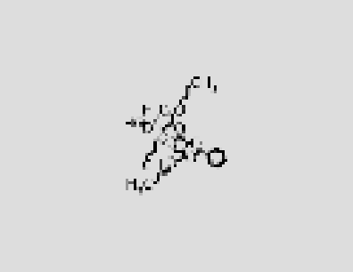 CCCCOCC12CO[C@@H](OC(C(C)OCCCC)[C@@H](COO)OCCCC)C1O[C@H](c1ccccc1)O2